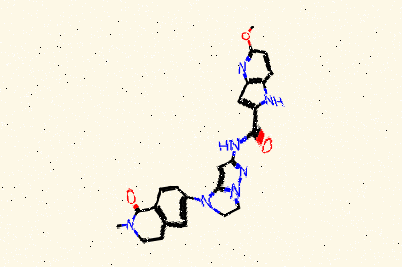 COc1ccc2[nH]c(C(=O)Nc3cc4n(n3)CCN4c3ccc4c(c3)CCN(C)C4=O)cc2n1